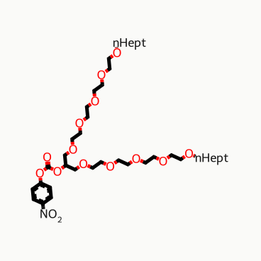 CCCCCCCOCCOCCOCCOCCOCC(COCCOCCOCCOCCOCCCCCCC)OC(=O)Oc1ccc([N+](=O)[O-])cc1